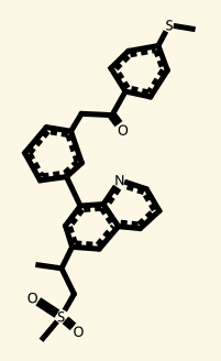 CSc1ccc(C(=O)Cc2cccc(-c3cc(C(C)CS(C)(=O)=O)cc4cccnc34)c2)cc1